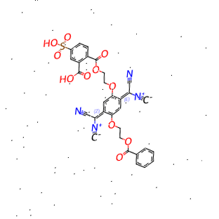 [C-]#[N+]/C(C#N)=c1/cc(OCCOC(=O)c2ccc(S(=O)(=O)O)cc2C(=O)O)/c(=C(\C#N)[N+]#[C-])cc1OCCOC(=O)c1ccccc1